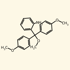 COc1ccc(C(OC)(c2ccc(OC)cc2)c2ccccc2N)cc1